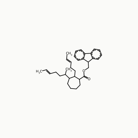 CC=CCCC(C)C1CCCCC(C(=O)OCC2c3ccccc3-c3ccccc32)C1CCC=CC